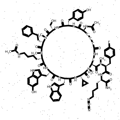 CC(=O)NCCCC[C@H]1C(=O)N[C@@H](Cc2c[nH]c3ccc(O)cc23)C(=O)N[C@@H](Cc2c[nH]c3ccccc23)C(=O)N[C@@H](C2CC2)C(=O)N(C)[C@H](C(=O)N(C)[C@@H](Cc2ccc(F)cc2)C(=O)N[C@@H](CCCCN=[N+]=[N-])C(N)=O)CNC(=O)CCC[C@H](NC(C)=O)C(=O)N[C@@H](Cc2ccc(O)cc2)C(=O)N[C@@H](CO)C(=O)N(C)[C@@H](CCc2ccccc2)C(=O)N1C